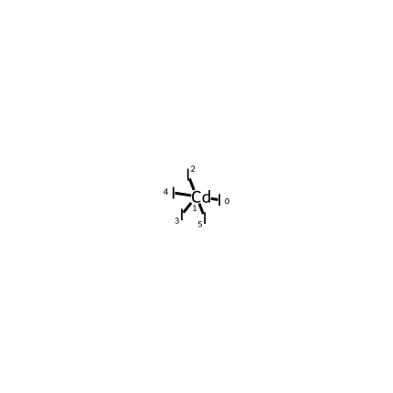 [I][Cd]([I])([I])([I])[I]